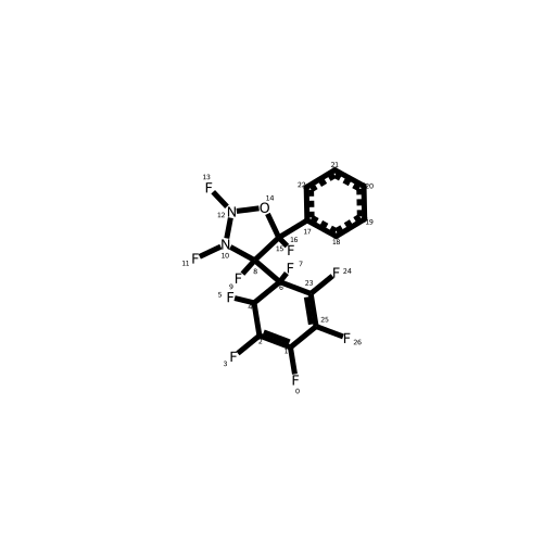 FC1=C(F)C(F)C(F)(C2(F)N(F)N(F)OC2(F)c2ccccc2)C(F)=C1F